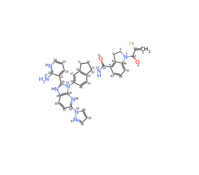 C=C(F)C(=O)N1CCc2c(C(=O)N[C@H]3CCc4cc(-n5c(-c6cccnc6N)nc6ccc(-n7cccn7)nc65)ccc43)cccc21